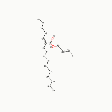 CCCCC=C(CCCCCCCCCC)C(=O)OCCCC